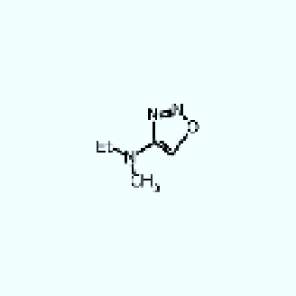 CCN(C)c1conn1